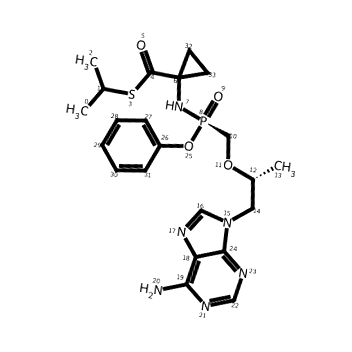 CC(C)SC(=O)C1(N[P@@](=O)(CO[C@H](C)Cn2cnc3c(N)ncnc32)Oc2ccccc2)CC1